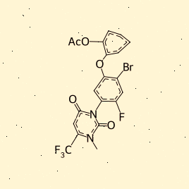 CC(=O)Oc1ccccc1Oc1cc(-n2c(=O)cc(C(F)(F)F)n(C)c2=O)c(F)cc1Br